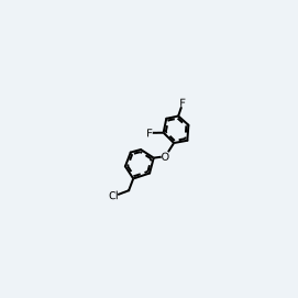 Fc1ccc(Oc2cccc(CCl)c2)c(F)c1